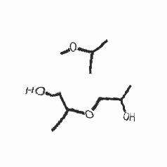 CC(O)COC(C)CO.COC(C)C